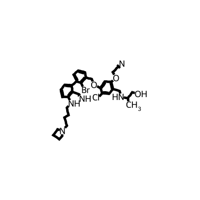 CC(CO)NCc1cc(Cl)c(OCc2cccc(-c3cccc(NCCCCN4CCCC4)c3C=N)c2Br)cc1OCC#N